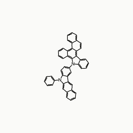 c1ccc(-n2c3ccc(-n4c5ccccc5c5c6ccc7ccccc7c6c6ccccc6c54)cc3c3cc4ccccc4cc32)cc1